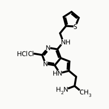 CC(N)Cc1cc2c(NCc3cccs3)nc(Cl)nc2[nH]1.Cl